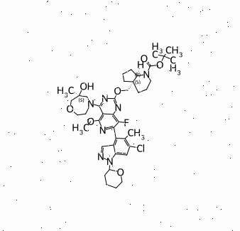 COc1nc(-c2c(C)c(Cl)cc3c2cnn3C2CCCCO2)c(F)c2nc(OC[C@]34CCC[C@H]3N(C(=O)OC(C)(C)C)CCC4)nc(N3CCOC[C@@](C)(O)C3)c12